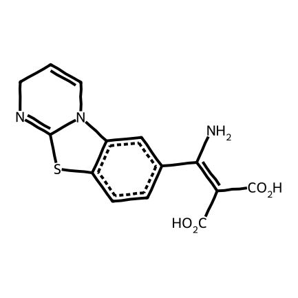 NC(=C(C(=O)O)C(=O)O)c1ccc2c(c1)N1C=CCN=C1S2